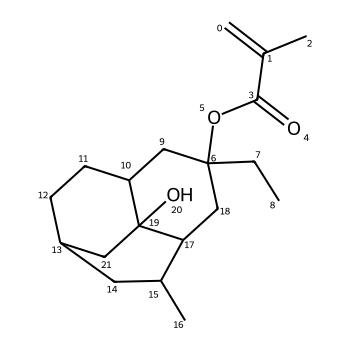 C=C(C)C(=O)OC1(CC)CC2CCC3CC(C)C(C1)C2(O)C3